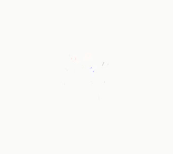 CC1=C(C)[N]([Ta])S(=O)(=O)c2ccccc21